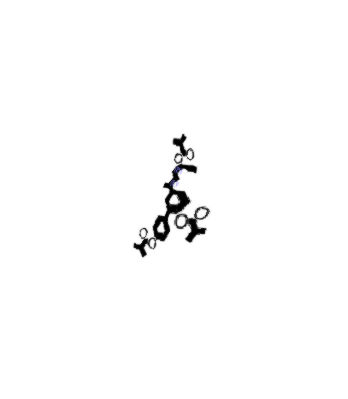 C#C/C(=C\C=C(/C)c1ccc(OC(=O)C(=C)C)c(-c2ccc(OC(=O)C(=C)C)cc2)c1)OC(=O)C(=C)C